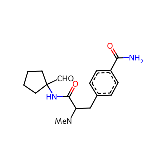 CNC(Cc1ccc(C(N)=O)cc1)C(=O)NC1(C=O)CCCC1